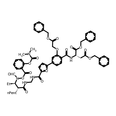 CCCCC[C@@H](C(=O)NCNC(=O)c1ccc(-c2ccc(C(=O)N[C@@H](CC(=O)OCc3ccccc3)C(=O)OCc3ccccc3)c(OCC(=O)OCc3ccccc3)c2)o1)[C@@H](CC)N(C=O)OC(=O)c1ccccc1OC(=O)N(C)C